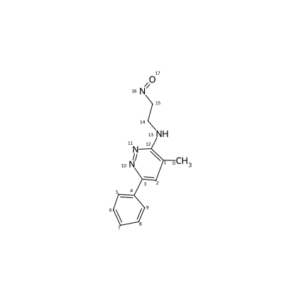 Cc1cc(-c2ccccc2)nnc1NCCN=O